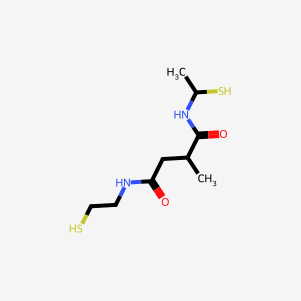 CC(S)NC(=O)C(C)CC(=O)NCCS